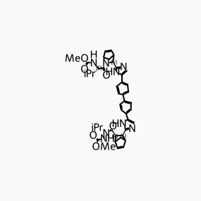 COC(=O)N[C@H](C(=O)N1C2C=CC(C2)[C@H]1c1ncc(-c2ccc(-c3ccc(-c4cnc([C@H]5C6C=CC(C6)[C@H]5C(=O)N(NC(=O)OC)C(C)C)[nH]4)cc3)cc2)[nH]1)C(C)C